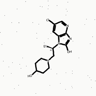 CC[C@H](CN1CCC(O)CC1)n1c(O)nc2ncc(Cl)cc21